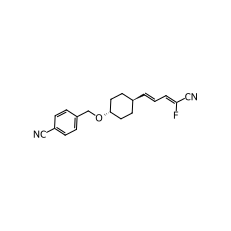 N#CC(F)=CC=C[C@H]1CC[C@H](OCc2ccc(C#N)cc2)CC1